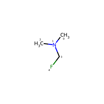 CN(C)CF